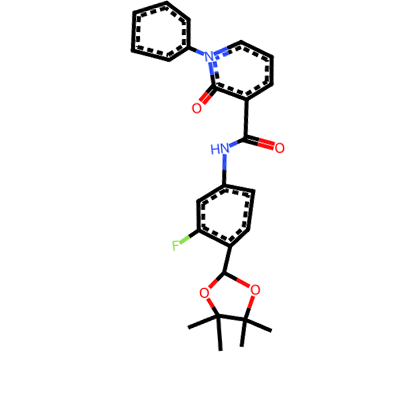 CC1(C)OC(c2ccc(NC(=O)c3cccn(-c4ccccc4)c3=O)cc2F)OC1(C)C